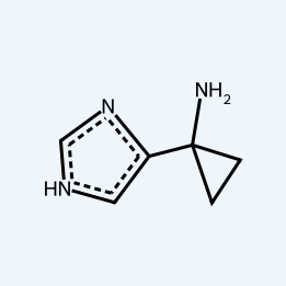 NC1(c2c[nH]cn2)CC1